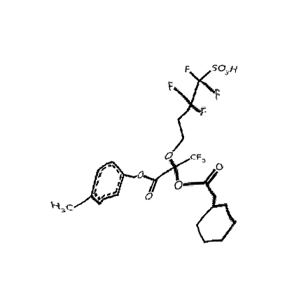 Cc1ccc(OC(=O)C(OCCC(F)(F)C(F)(F)S(=O)(=O)O)(OC(=O)C2CCCCC2)C(F)(F)F)cc1